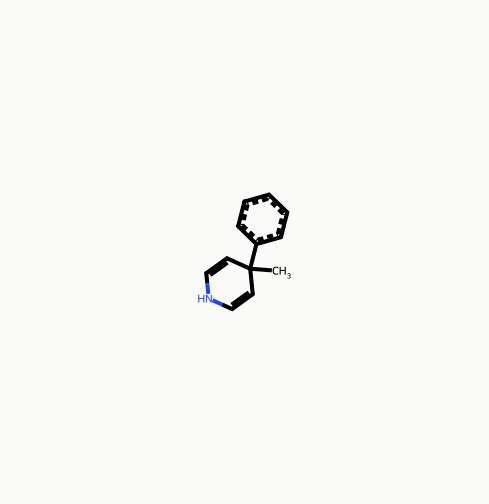 CC1(c2ccccc2)C=CNC=C1